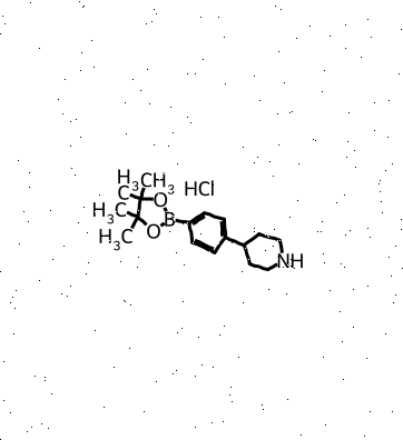 CC1(C)OB(c2ccc(C3CCNCC3)cc2)OC1(C)C.Cl